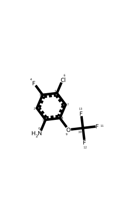 Nc1cc(F)c(Cl)cc1OC(F)(F)F